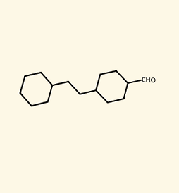 O=CC1CCC(CCC2CCCCC2)CC1